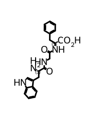 N[C@@H](Cc1c[nH]c2ccccc12)C(=O)NCC(=O)N[C@@H](Cc1ccccc1)C(=O)O